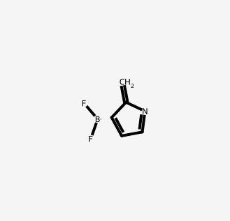 C=C1C=CC=N1.F[B]F